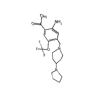 Nc1cc(CN2CCC(N3CCCC3)CC2)c(OC(F)(F)F)cc1C(=O)O